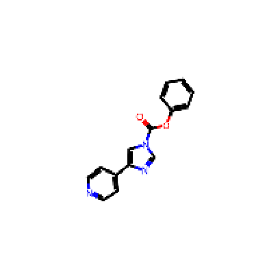 O=C(Oc1ccccc1)n1cnc(-c2ccncc2)c1